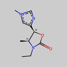 CCN1C(=O)O[C@H](c2cn(C)cn2)[C@@H]1C